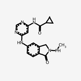 CPN1Cc2cc(Nc3cc(NC(=O)C4CC4)ncn3)ccc2C1=O